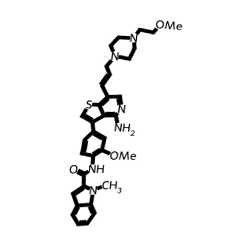 COCCN1CCN(C/C=C/c2cnc(N)c3c(-c4ccc(NC(=O)c5cc6ccccc6n5C)c(OC)c4)csc23)CC1